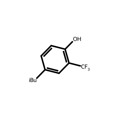 CCC(C)c1ccc(O)c(C(F)(F)F)c1